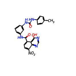 Cc1ccc(NC(=O)Nc2cccc(NC(=O)c3ccc([N+](=O)[O-])c4ncnc(O)c34)c2)cc1